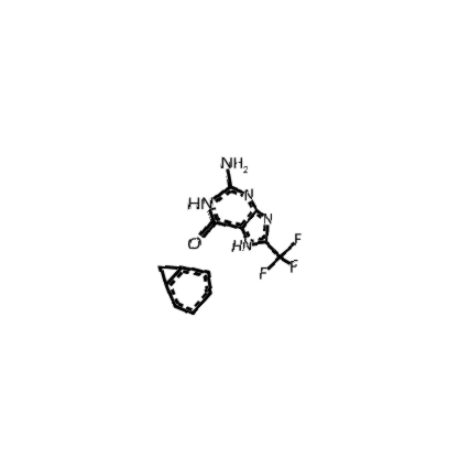 Nc1nc2nc(C(F)(F)F)[nH]c2c(=O)[nH]1.c1ccc2c(c1)C2